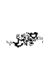 CCOC(=O)c1cccc(C)c1NS(=O)(=O)c1nc2nc(C)ccn2n1